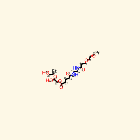 CCCOCCOCCC(=O)NCCNC(=O)CCCC(=O)OCC(O)OC(CC)CO